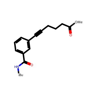 CCC(C)NC(=O)c1cccc(C#CCCCC(=O)OC)c1